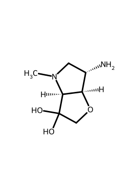 CN1C[C@H](N)[C@H]2OCC(O)(O)[C@H]21